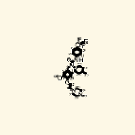 COc1cc(CN(C(=O)Nc2ccc(OC(F)(F)F)cc2)N2CCC(C)CC2)ccc1OCCN1CCN(C)CC1